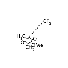 COC1=C(C)C(=O)C(C)=C(CCCCCCCC(F)(F)F)C1=O